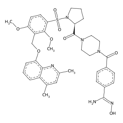 COc1ccc(S(=O)(=O)N2CCC[C@H]2C(=O)N2CCN(C(=O)c3ccc(C(N)=NO)cc3)CC2)c(OC)c1COc1cccc2c(C)cc(C)nc12